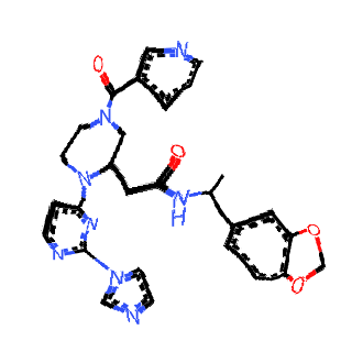 CC(NC(=O)CC1CN(C(=O)c2cccnc2)CCN1c1ccnc(-n2ccnc2)n1)c1ccc2c(c1)OCO2